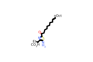 CCCCCCCCC=CCCCCCCCC(=O)c1nc(C(CC)C(=O)O)c(N)s1